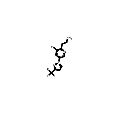 NCCc1ncc(-n2ccc(C(F)(F)F)n2)cc1Cl